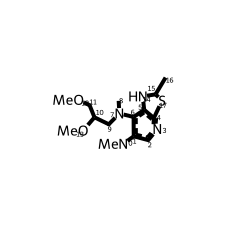 CNc1cnc2c(c1N(C)CC(COC)OC)NC(C)S2